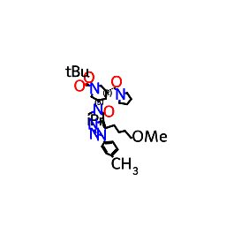 COCCCCc1c(C(=O)N(CC(C)C)[C@H]2C[C@@H](C(=O)N3CCCC3)CN(C(=O)OC(C)(C)C)C2)nnn1-c1ccc(C)cc1